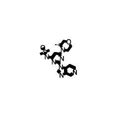 C[C@@H]1COCCN1c1cc(N=S(C)(C)=O)nc(-n2cnc3cnccc32)n1